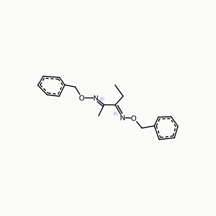 CCC(=N\OCc1ccccc1)/C(C)=N/OCc1ccccc1